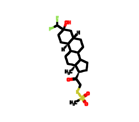 C[C@]12CCC3C(CC[C@H]4C[C@@](O)(C(F)F)CC[C@H]34)C1CC[C@@H]2C(=O)CSS(C)(=O)=O